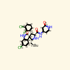 CC(C)(C)C[C@H]1N[C@H](C(=O)Nc2cc[nH]c(=O)c2)[C@@H](c2cccc(Cl)c2F)[C@@]12C(=O)Nc1cc(Cl)ccc12